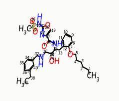 CCCCCCOc1ccccc1C[C@H](NC(=O)c1coc(NS(C)(=O)=O)n1)[C@H](O)CNCc1cccc(CC)c1